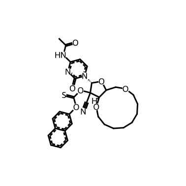 CC(=O)Nc1ccn([C@@H]2OC3COCCCCCCCCO[C@H]3C2(C#N)OC(=S)Oc2ccc3ccccc3c2)c(=O)n1